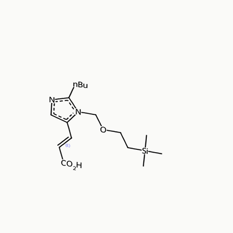 CCCCc1ncc(/C=C/C(=O)O)n1COCC[Si](C)(C)C